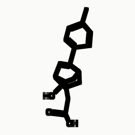 Cc1ccc(C2=CC3CCC2CC3(O)CC(=O)O)cc1